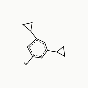 CC(=O)c1cc(C2CC2)cc(C2CC2)c1